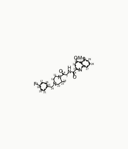 COc1cc(C(=O)NCC(=O)N2CCN(Cc3ccc(F)cc3)CC2C)nc2ccccc12